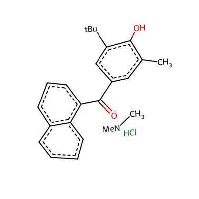 CNC.Cc1cc(C(=O)c2cccc3ccccc23)cc(C(C)(C)C)c1O.Cl